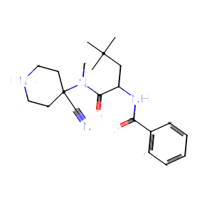 CN(C(=O)C(CC(C)(C)C)NC(=O)c1ccccc1)C1(C#N)CCNCC1